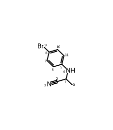 CC(C#N)Nc1ccc(Br)cc1